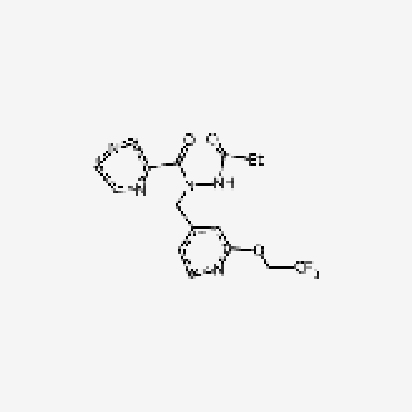 CCC(=O)NN(Cc1ccnc(OCC(F)(F)F)c1)C(=O)c1cnccn1